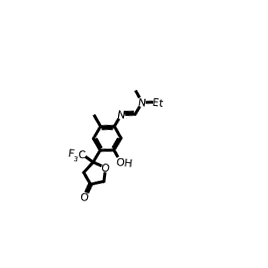 CCN(C)/C=N/c1cc(O)c(C2(C(F)(F)F)CC(=O)CO2)cc1C